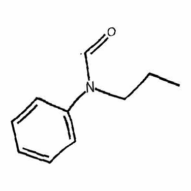 CCCN([C]=O)c1ccccc1